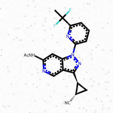 CC(=O)Nc1cc2c(cn1)c([C@H]1C[C@@H]1C#N)nn2-c1cccc(C(C)(F)F)n1